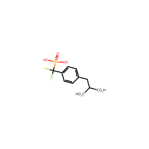 O=C(O)C(Cc1ccc(C(F)(F)P(=O)(O)O)cc1)C(=O)O